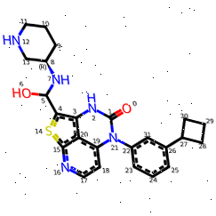 O=C1Nc2c(C(O)N[C@@H]3CCCNC3)sc3nccc(c23)N1c1cccc(C2CCC2)c1